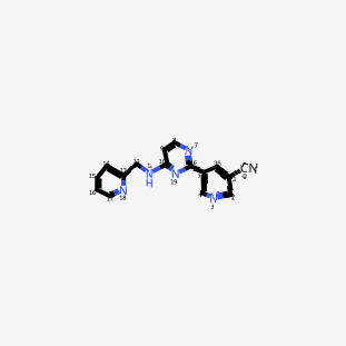 N#Cc1cncc(-c2nccc(NCc3ccccn3)n2)c1